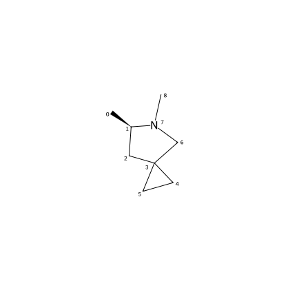 C[C@@H]1CC2(CC2)CN1C